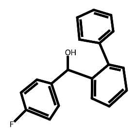 OC(c1ccc(F)cc1)c1ccccc1-c1ccccc1